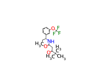 CCC(NC(=O)CC(=O)C(C)(C)C)c1cccc(OC(F)(F)F)c1